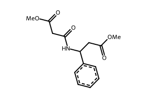 COC(=O)CC(=O)NC(CC(=O)OC)c1ccccc1